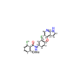 COc1cccc(F)c1C(=O)Nc1ccc(Oc2ccnc3[nH]ccc23)c(F)c1